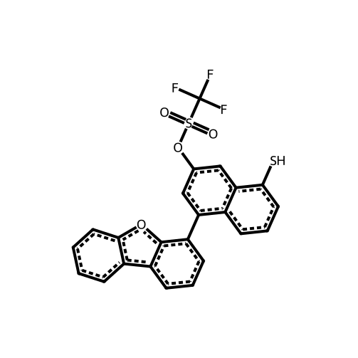 O=S(=O)(Oc1cc(-c2cccc3c2oc2ccccc23)c2cccc(S)c2c1)C(F)(F)F